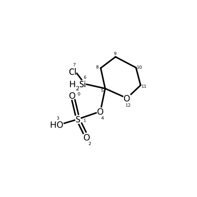 O=S(=O)(O)OC1([SiH2]Cl)CCCCO1